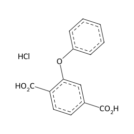 Cl.O=C(O)c1ccc(C(=O)O)c(Oc2ccccc2)c1